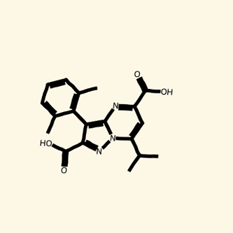 Cc1cccc(C)c1-c1c(C(=O)O)nn2c(C(C)C)cc(C(=O)O)nc12